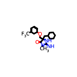 CN1C(=N)NC(COC2C=CC=C(C(F)(F)F)C2)(CC2CCCCC2)C1=O